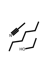 CC#N.CCCCCC.CCO